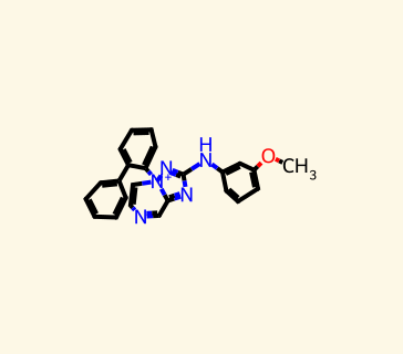 COc1cccc(NC2=N[N+]3(c4ccccc4-c4ccccc4)C=CN=CC3=N2)c1